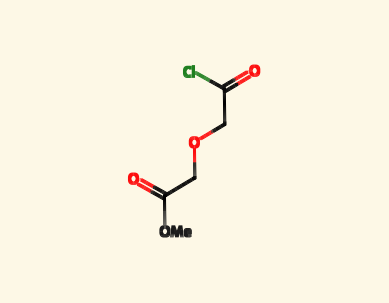 COC(=O)COCC(=O)Cl